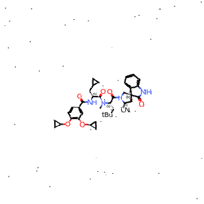 CN(C(=O)[C@H](CC1CC1)NC(=O)c1ccc(OC2CC2)c(OC2CC2)c1)[C@@H](CC(C)(C)C)C(=O)N1C[C@]2(C[C@H]1C#N)C(=O)Nc1ccccc12